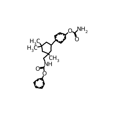 CC1(C)CC(c2ccc(OC(N)=O)cc2)CC(C)(CNC(=O)Oc2ccccc2)C1